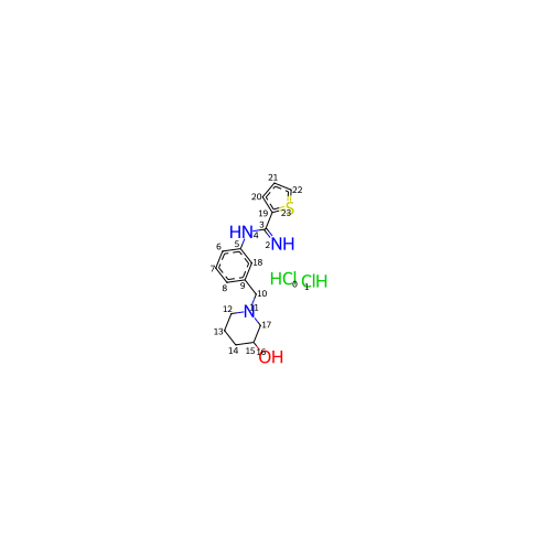 Cl.Cl.N=C(Nc1cccc(CN2CCCC(O)C2)c1)c1cccs1